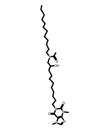 CCCCCCCCCCCCN(CC(O)CCCCCCCCCn1c(=O)c2c(ncn2C)n(C)c1=O)C(C)=O